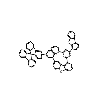 c1ccc(-c2nc(-c3cccc4c3sc3ccccc34)nc(-c3cccc4oc5ccc(-c6cccc(-c7ccc8c(c7)-c7ccccc7C87c8ccccc8-c8ccccc87)c6)cc5c34)n2)cc1